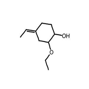 C/C=C1/CCC(O)C(OCC)C1